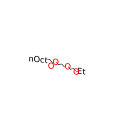 [CH2]COCCOCCCOC(=O)CCCCCCCCC